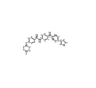 CN1CCN(Cc2ccc(C(=O)Nc3ccc(Nc4ncc(-c5ccsc5)cn4)cc3)cc2)CC1